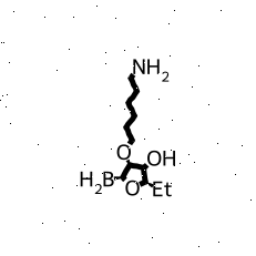 B[C@@H]1O[C@H](CC)C(O)[C@@H]1OCCCCCCN